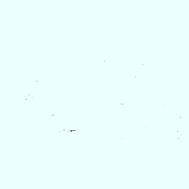 C=C(F)C(=O)N(CCN(C)C)[C@H]1C[C@H](Oc2cc(-c3ccc(O)cc3)cc3[nH]ncc23)C1